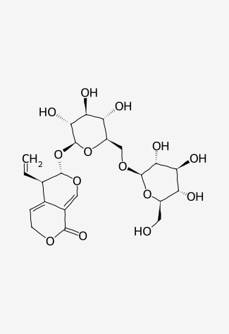 C=C[C@@H]1C2=CCOC(=O)C2=CO[C@H]1O[C@@H]1O[C@H](CO[C@@H]2O[C@H](CO)[C@@H](O)[C@H](O)[C@H]2O)[C@@H](O)[C@H](O)[C@H]1O